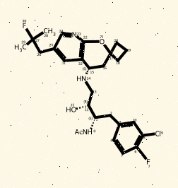 CC(=O)N[C@@H](Cc1ccc(F)c(Cl)c1)[C@H](O)CN[C@H]1CC2(CCC2)Oc2ncc(CC(C)(C)F)cc21